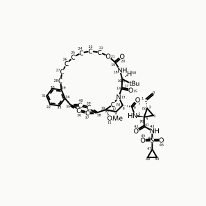 C=C[C@@H]1C[C@]1(NC(=O)[C@@H]1C[C@]2(OC)CN1C(=O)[C@H](C(C)(C)C)NC(=O)OCCCCCCCc1ccccc1-c1ccc2cc1)C(=O)NS(=O)(=O)C1CC1